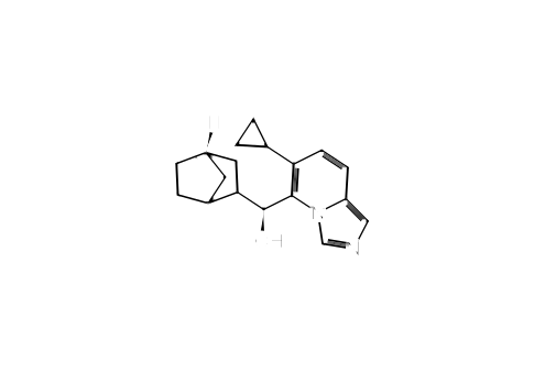 O[C@H](c1c(C2CC2)ccc2cncn12)C1C[C@H]2CCC1C2